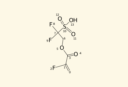 C=C(F)C(=O)OCC(F)(F)S(=O)(=O)O